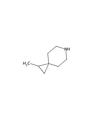 CC1CC12CCNCC2